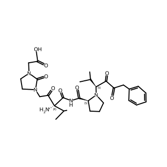 CC(C)[C@@H](C(=O)C(=O)Cc1ccccc1)N1CCC[C@H]1C(=O)NC(=O)[C@](N)(C(=O)CN1CCN(CC(=O)O)C1=O)C(C)C